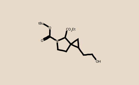 CCOC(=O)C1N(C(=O)OC(C)(C)C)CCC12CC2CCO